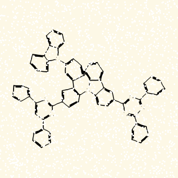 c1ccc(-c2cc(-c3ccccc3)nc(-c3ccc(-n4c5ccccc5c5cc(-c6nc(-c7ccccc7)nc(-c7ccccc7)n6)ccc54)c(-c4cccc(-n5c6ccccc6c6ccccc65)c4)c3)n2)cc1